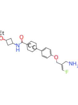 CCO[C@H]1C[C@@H](NC(=O)C23CCC(c4ccc(OC/C(=C/F)CN)cc4)(CC2)CC3)C1